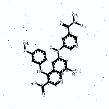 COc1cccc(Nc2c(C(N)=O)cnc3c(C)cc([S+]([O-])c4cncc(C(=O)N(C)C)c4)cc23)c1.Cl